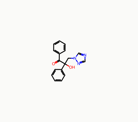 O=C(c1ccccc1)C(O)(Cn1cncn1)c1ccccc1